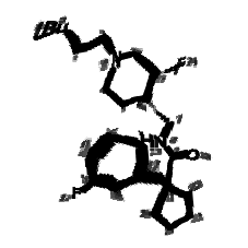 CC(C)(C)CCN1CC[C@@H](CNC(=O)C2(c3cccc(F)c3)CCCC2)[C@@H](F)C1